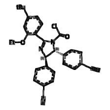 C#Cc1ccc([C@H]2N=C(c3ccc(C(C)(C)C)cc3OCC)N(C(=O)Cl)[C@@H]2c2ccc(C#C)cc2)cc1